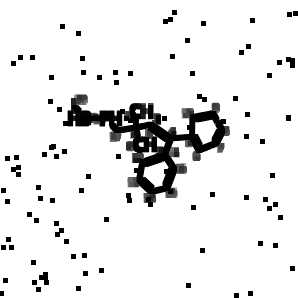 CC(C)(C=C(c1ccccc1)c1ccccc1)CPBI